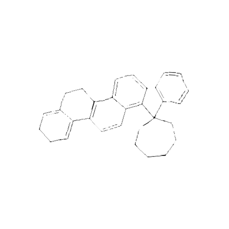 C1=C2CCc3c(ccc4c(C5(c6ccccc6)CCCCCO5)cccc34)C2=CCC1